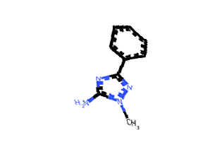 Cn1nc(-c2ccccc2)nc1N